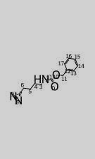 O=C(NCCCCC1N=N1)OCc1ccccc1